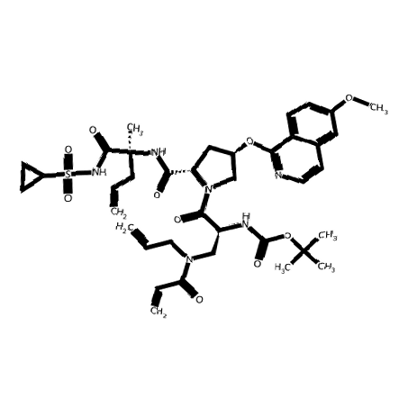 C=CCN(C[C@H](NC(=O)OC(C)(C)C)C(=O)N1C[C@H](Oc2nccc3cc(OC)ccc23)C[C@H]1C(=O)N[C@@](C)(CC=C)C(=O)NS(=O)(=O)C1CC1)C(=O)C=C